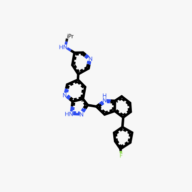 CC(C)Nc1cncc(-c2cnc3[nH]nc(-c4cc5c(-c6ccc(F)cc6)cccc5[nH]4)c3c2)c1